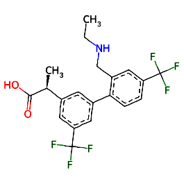 CCNCc1cc(C(F)(F)F)ccc1-c1cc([C@H](C)C(=O)O)cc(C(F)(F)F)c1